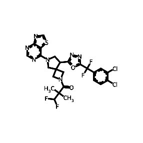 CC(C)(C(=O)N1CC2(C1)CN(c1ncnc3ncsc13)CC2c1nnc(C(F)(F)c2ccc(Cl)c(Cl)c2)o1)C(F)F